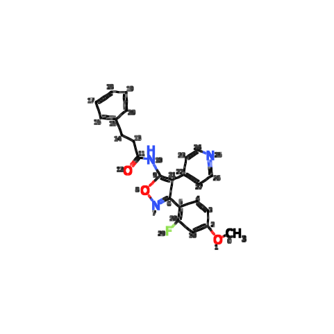 COc1ccc(-c2noc(NC(=O)CCc3ccccc3)c2-c2ccncc2)c(F)c1